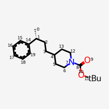 C[C@H](CCC1CCN(C(=O)OC(C)(C)C)CC1)c1ccccc1